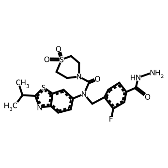 CC(C)c1nc2ccc(N(Cc3ccc(C(=O)NN)cc3F)C(=O)N3CCS(=O)(=O)CC3)cc2s1